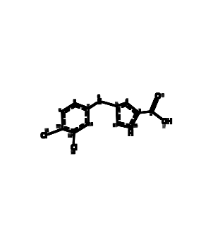 O=C(O)c1cc(Sc2ccc(Cl)c(Cl)c2)c[nH]1